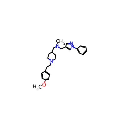 COc1ccc(CCN2CCC(CN(C)Cc3cnn(-c4ccccc4)c3)CC2)cc1